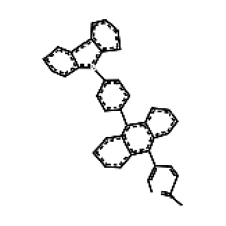 C=C(C)/C=C\C(=C/C)c1c2ccccc2c(-c2ccc(-n3c4ccccc4c4ccccc43)cc2)c2ccccc12